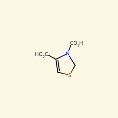 O=C(O)C1=CSCN1C(=O)O